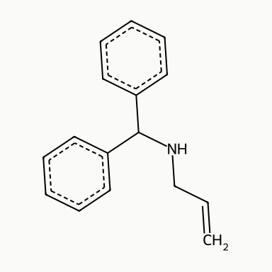 C=CCNC(c1ccccc1)c1ccccc1